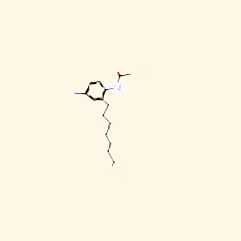 CCCCCCCCc1cc(I)ccc1NC(C)=O